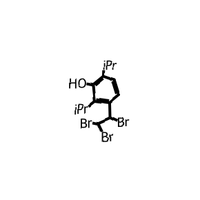 CC(C)c1ccc(C(Br)C(Br)Br)c(C(C)C)c1O